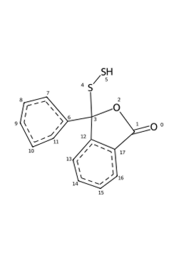 O=C1OC(SS)(c2ccccc2)c2ccccc21